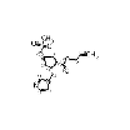 C=CCOC(=O)N1C[C@H](OS(C)(=O)=O)C[C@H]1Cn1ccnc1